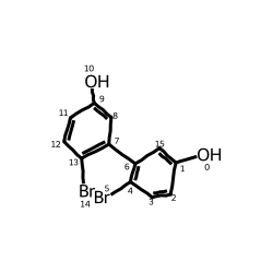 Oc1ccc(Br)c(-c2cc(O)ccc2Br)c1